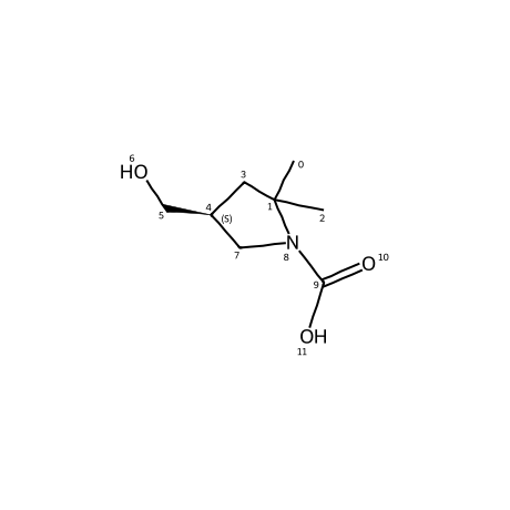 CC1(C)C[C@H](CO)CN1C(=O)O